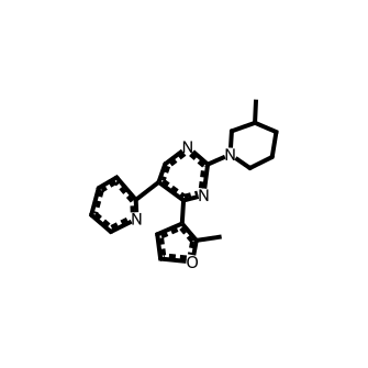 Cc1occc1-c1nc(N2CCCC(C)C2)ncc1-c1ccccn1